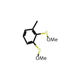 COSc1cccc(C)c1SOC